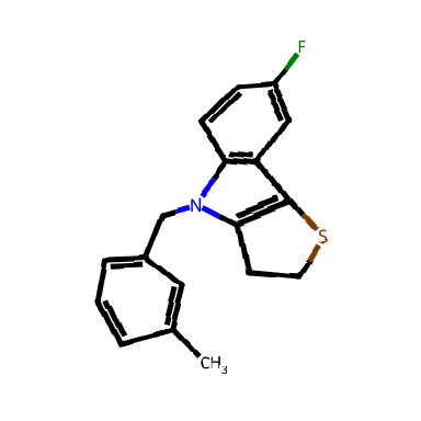 Cc1cccc(Cn2c3c(c4cc(F)ccc42)SCC3)c1